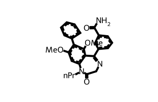 CCCN1C(=O)CN=C(c2cccc(C(N)=O)c2)c2c1cc(OC)c(-c1ccccc1)c2OC